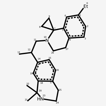 CCc1ccc2c(c1)C1(CC1)N(CC(C)c1ccc3c(c1)C(C)(C)NCC3)CC2